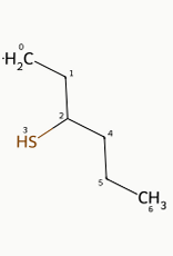 [CH2]CC(S)CCC